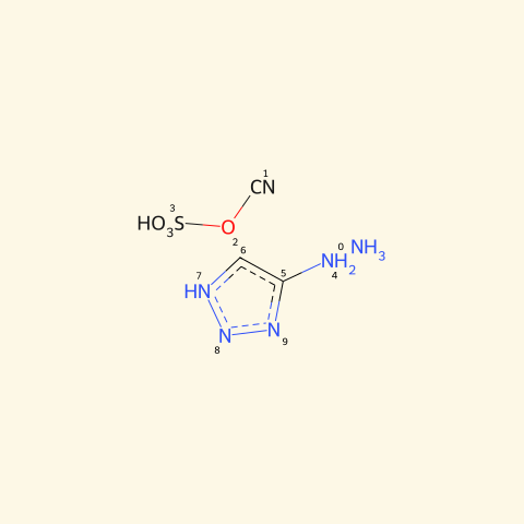 N.N#COS(=O)(=O)O.Nc1c[nH]nn1